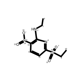 CCNc1nc(S(=O)(=O)CC)ccc1[N+](=O)[O-]